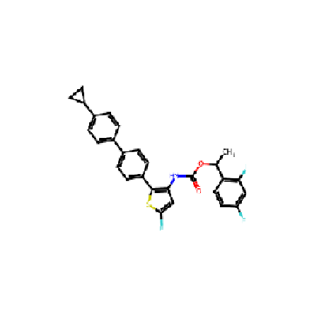 CC(OC(=O)Nc1cc(F)sc1-c1ccc(-c2ccc(C3CC3)cc2)cc1)c1ccc(F)cc1F